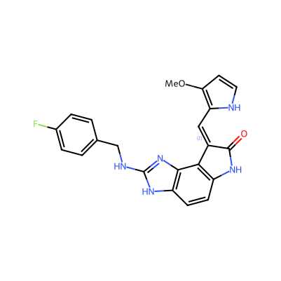 COc1cc[nH]c1/C=C1\C(=O)Nc2ccc3[nH]c(NCc4ccc(F)cc4)nc3c21